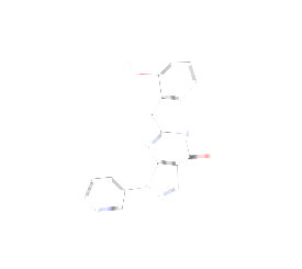 O=c1[nH]c(Cc2ccccc2OC(F)(F)F)nc2c1cnn2-c1cccnc1